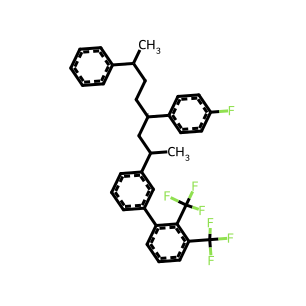 CC(CC[C](CC(C)c1cccc(-c2cccc(C(F)(F)F)c2C(F)(F)F)c1)c1ccc(F)cc1)c1ccccc1